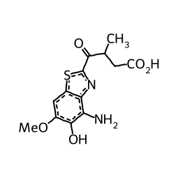 COc1cc2sc(C(=O)C(C)CC(=O)O)nc2c(N)c1O